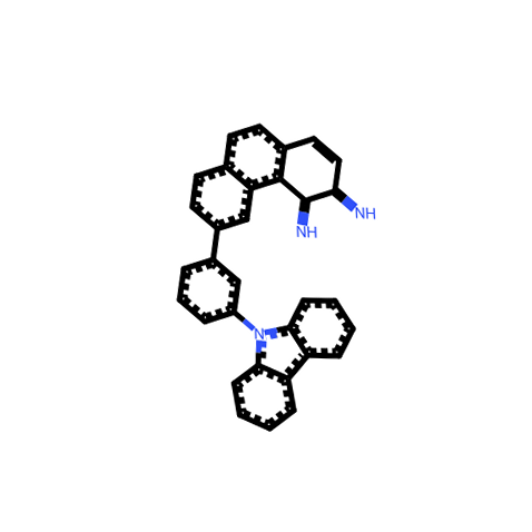 N=C1C=Cc2ccc3ccc(-c4cccc(-n5c6ccccc6c6ccccc65)c4)cc3c2C1=N